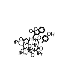 CC(C)C[C@H](NC(=O)[C@H](CC(C)C)N1C(=O)CCC1=O)C(=O)N[C@H](C(=O)N[C@@H](Cc1ccc(O)cc1)C(=O)NCc1cc2ccccc2oc1=O)C(C)C